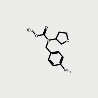 CC(C)(C)OC(=O)N(Cc1ccc(N)cc1)C1CCOC1